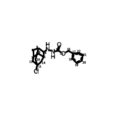 O=C(NNC1C2CC3CC1CC(Cl)(C3)C2)OCc1ccccc1